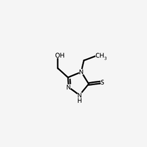 CCn1c(CO)n[nH]c1=S